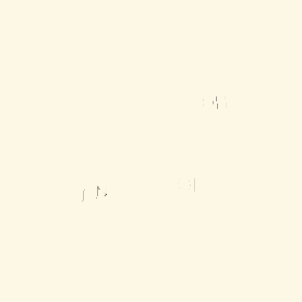 N=CCC(O)=CCO